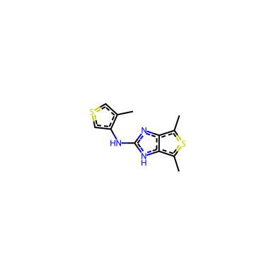 Cc1cscc1Nc1nc2c(C)sc(C)c2[nH]1